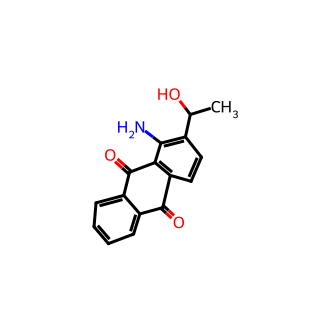 CC(O)c1ccc2c(c1N)C(=O)c1ccccc1C2=O